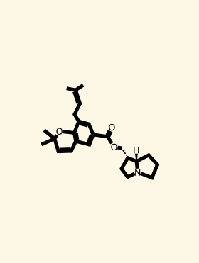 CC(C)=CCc1cc(C(=O)OC[C@H]2CCN3CCC[C@@H]23)cc2c1OC(C)(C)C=C2